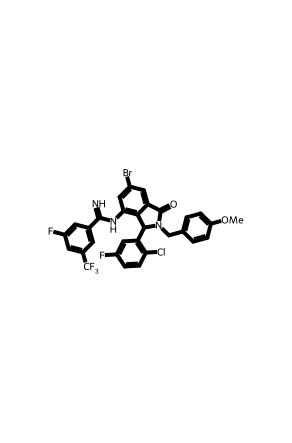 COc1ccc(CN2C(=O)c3cc(Br)cc(NC(=N)c4cc(F)cc(C(F)(F)F)c4)c3C2c2cc(F)ccc2Cl)cc1